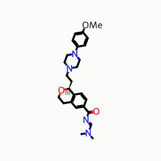 COc1ccc(N2CCN(CC[C@@H]3OCCc4cc(C(=O)N=CN(C)C)ccc43)CC2)cc1